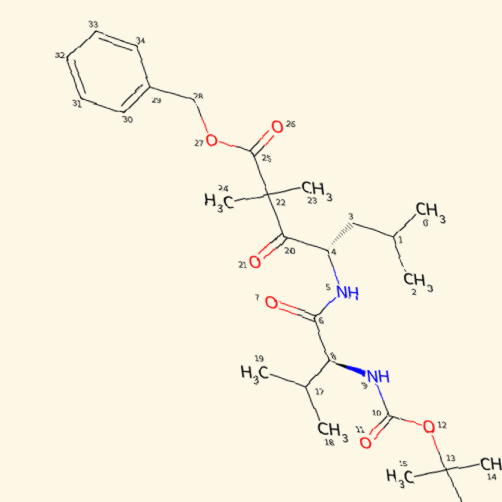 CC(C)C[C@H](NC(=O)[C@@H](NC(=O)OC(C)(C)C)C(C)C)C(=O)C(C)(C)C(=O)OCc1ccccc1